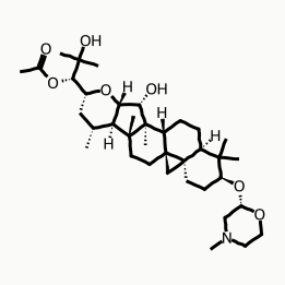 CC(=O)O[C@@H]([C@H]1C[C@@H](C)[C@H]2[C@H](O1)[C@H](O)[C@@]1(C)[C@@H]3CC[C@H]4C(C)(C)[C@@H](O[C@H]5CN(C)CCO5)CC[C@@]45C[C@@]35CC[C@]21C)C(C)(C)O